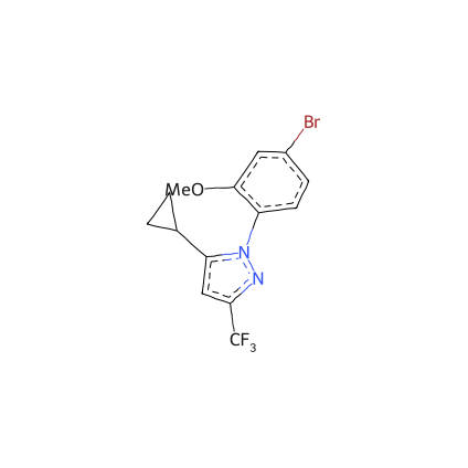 COc1cc(Br)ccc1-n1nc(C(F)(F)F)cc1C1CC1